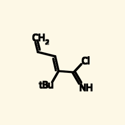 C=C/C=C(/C(=N)Cl)C(C)(C)C